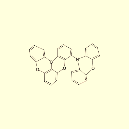 c1ccc2c(c1)Oc1cccc3c1B2c1cccc(N2c4ccccc4Oc4ccccc42)c1O3